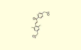 Cc1cc(CC2CO2)cc(C)c1C=CC(=O)c1ccc(CC2CO2)cc1